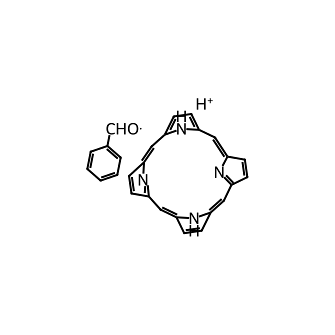 C1=Cc2cc3ccc(cc4nc(cc5ccc(cc1n2)[nH]5)C=C4)[nH]3.O=[C]c1ccccc1.[H+]